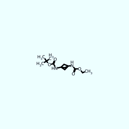 CCOC(=O)NC12CC(NC(=O)OC(C)(C)C)(C1)C2